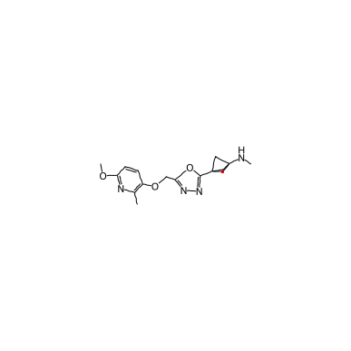 CNC12CC(c3nnc(COc4ccc(OC)nc4C)o3)(C1)C2